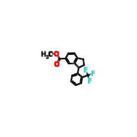 COC(=O)c1ccc2c(c1)C(c1ccccc1C(F)(F)F)CC2